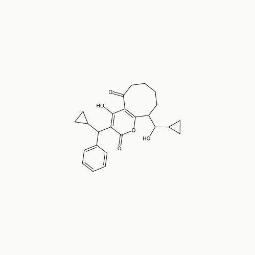 O=C1CCCCC(C(O)C2CC2)c2oc(=O)c(C(c3ccccc3)C3CC3)c(O)c21